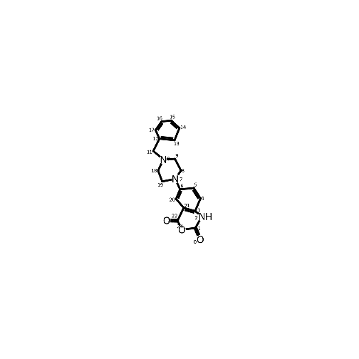 O=c1[nH]c2ccc(N3CCN(Cc4ccccc4)CC3)cc2c(=O)o1